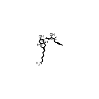 CC#CC[C@H](C)[C@H](O)C=C[C@@H]1[C@H]2CC(=CCCCCN)C[C@H]2C[C@H]1O